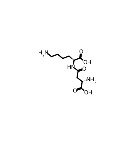 NCCCC[C@H](NC(=O)C[C@H](N)C(=O)O)C(=O)O